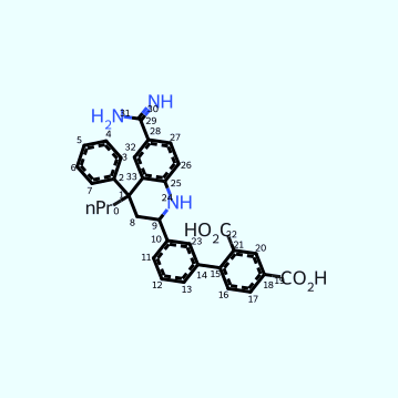 CCCC1(c2ccccc2)CC(c2cccc(-c3ccc(C(=O)O)cc3C(=O)O)c2)Nc2ccc(C(=N)N)cc21